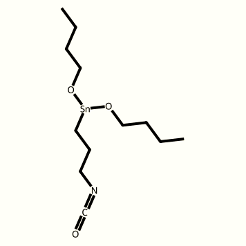 CCCC[O][Sn]([CH2]CCN=C=O)[O]CCCC